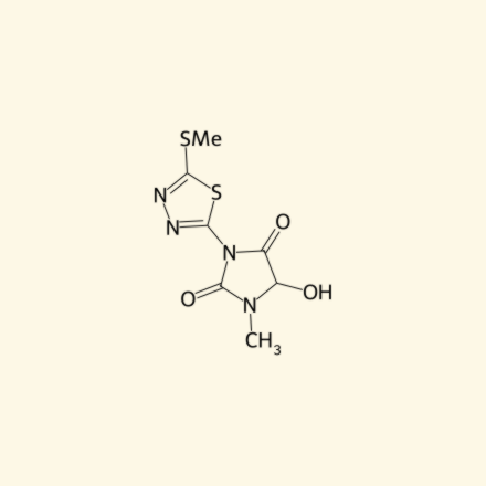 CSc1nnc(N2C(=O)C(O)N(C)C2=O)s1